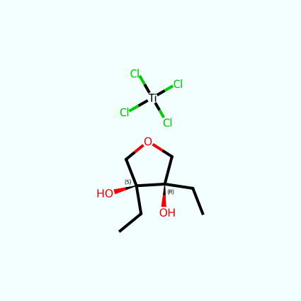 CC[C@@]1(O)COC[C@@]1(O)CC.[Cl][Ti]([Cl])([Cl])[Cl]